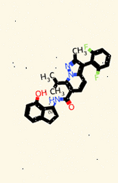 Cc1nn2c(C(C)C)c(C(=O)N[C@H]3CCc4cccc(O)c43)ccc2c1-c1c(F)cccc1F